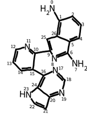 Nc1cccc2c(N)nc(-c3ncccc3-c3ncnc4cc[nH]c34)cc12